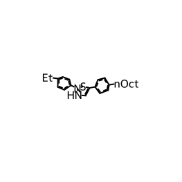 CCCCCCCCc1ccc(C2=CNN(c3ccc(CC)cc3)S2)cc1